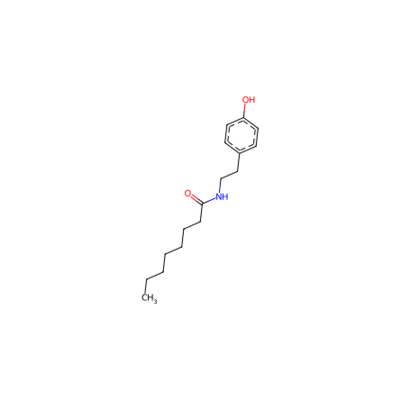 CCCCCCCC(=O)NCCc1ccc(O)cc1